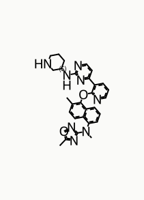 Cc1nc(N(C)c2cccc3c(Oc4ncccc4-c4ccnc(N[C@H]5CCCNC5)n4)c(C)ccc23)no1